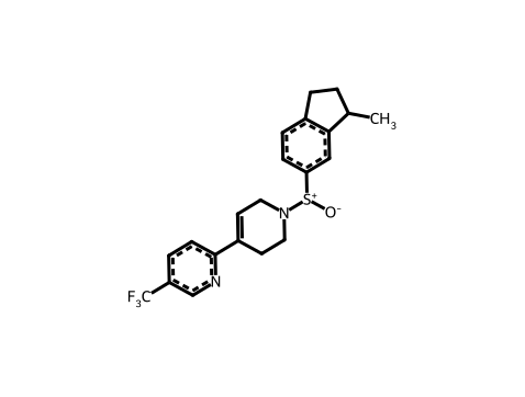 CC1CCc2ccc([S+]([O-])N3CC=C(c4ccc(C(F)(F)F)cn4)CC3)cc21